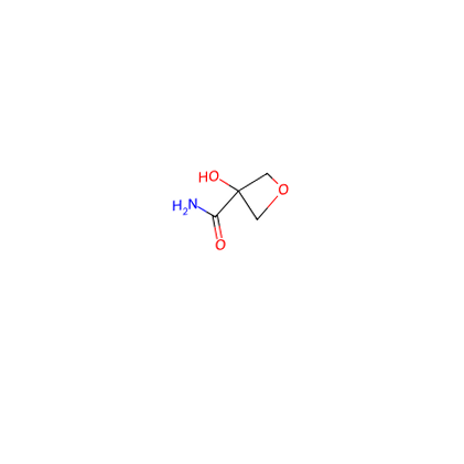 NC(=O)C1(O)COC1